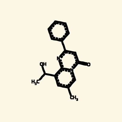 Cc1cc(C(C)O)c2nc(-c3ccccc3)cc(=O)n2c1